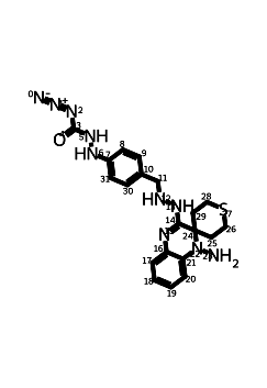 [N-]=[N+]=NC(=O)NNc1ccc(CNNC2=Nc3ccccc3N(N)C23CCSCC3)cc1